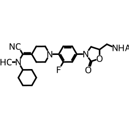 CC(=O)NCC1CN(c2ccc(N3CCC(=C(C#N)N(C=O)C4CCCCC4)CC3)c(F)c2)C(=O)O1